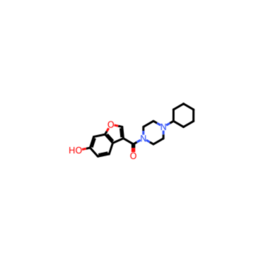 O=C(c1coc2cc(O)ccc12)N1CCN(C2CCCCC2)CC1